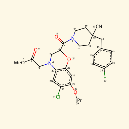 COC(=O)CN1CC(C(=O)N2CCC(C#N)(Cc3ccc(F)cc3)CC2)Oc2cc(OC(C)C)c(Cl)cc21